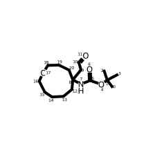 CC(C)(C)OC(=O)NC1(CC=O)CCCCCCCCC1